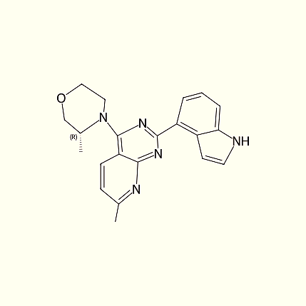 Cc1ccc2c(N3CCOC[C@H]3C)nc(-c3cccc4[nH]ccc34)nc2n1